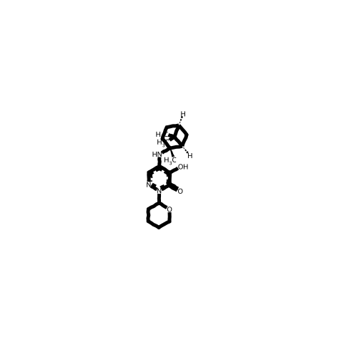 CC1(C)[C@H]2CC[C@@](C)(Nc3cnn(C4CCCCO4)c(=O)c3O)[C@@H]1C2